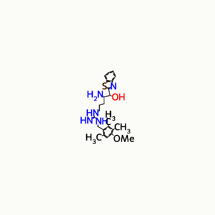 COc1cc(C)c(CNC(=N)NCCCC(N)C(O)c2nc3ccccc3s2)c(C)c1C